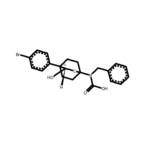 O=C(O)N(Cc1ccccc1)C12CCC(c3ccc(Br)cc3)(CC1)[C@@H](O)C2